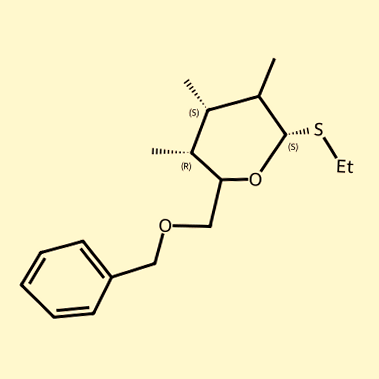 CCS[C@@H]1OC(COCc2ccccc2)[C@H](C)[C@H](C)C1C